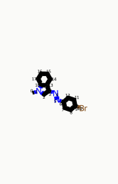 Cn1cc(/N=N/c2ccc(Br)cc2)c2ccccc21